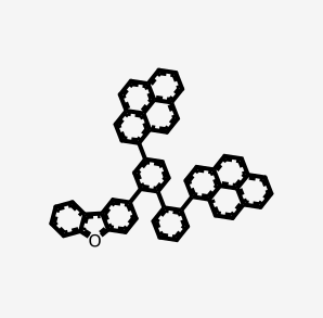 c1ccc(-c2ccc3ccc4cccc5ccc2c3c45)c(-c2ccc(-c3ccc4ccc5cccc6ccc3c4c56)cc2-c2ccc3oc4ccccc4c3c2)c1